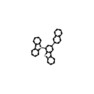 c1ccc2cc(-c3cc(-n4c5ccccc5c5ccccc54)c4oc5ccccc5c4c3)ccc2c1